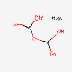 OB(O)OB(O)O.[NaH]